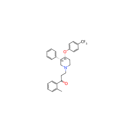 Cc1ccccc1C(=O)CCN1CC[C@@H](Oc2ccc(C(F)(F)F)cc2)[C@@H](c2ccccc2)C1